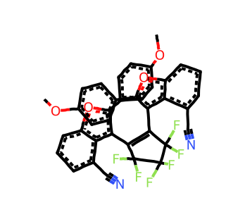 COc1ccc(-c2oc3cccc(C#N)c3c2C2=C(c3c(-c4ccc(OC)cc4)oc4cccc(C#N)c34)C(F)(F)C(F)(F)C2(F)F)cc1